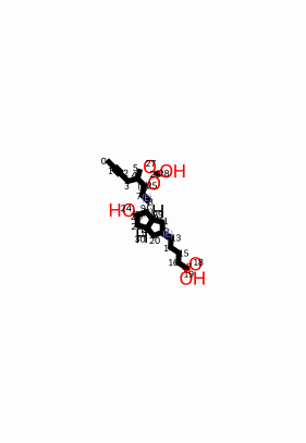 CC#CCC(C)[C@@H](/C=C/[C@@H]1[C@H]2C/C(=C/CCCC(=O)O)C[C@H]2C[C@H]1O)OC(=O)O